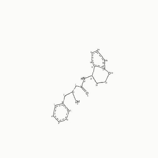 O=C(CC(O)Cc1ccccc1)NC1CCOc2ccccc21